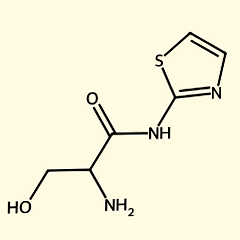 NC(CO)C(=O)Nc1nccs1